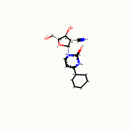 N#C[C@H]1[C@H](O)[C@@H](CO)O[C@H]1n1ccc(C2CCCCC2)nc1=O